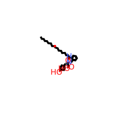 CCCCCCCCCCCCCCCCCC(=O)c1ccccc1CN[C@@H](Cc1ccc(O)cc1)C(=O)O